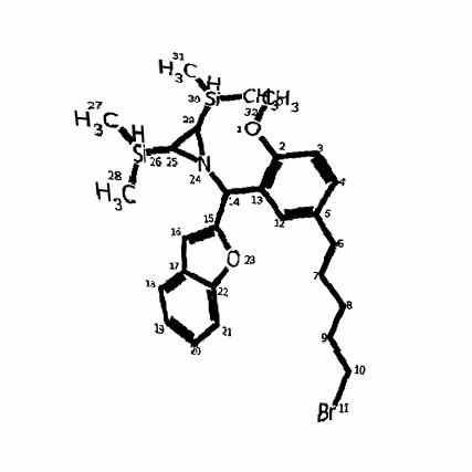 COc1ccc(CCCCCBr)cc1C(c1cc2ccccc2o1)N1C([SiH](C)C)C1[SiH](C)C